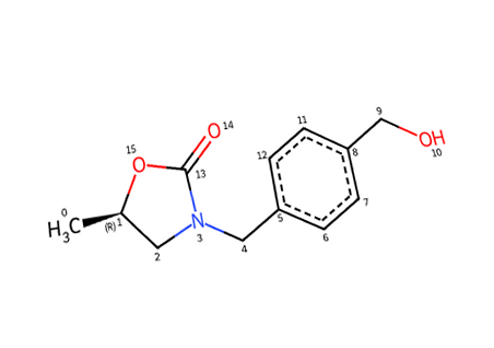 C[C@@H]1CN(Cc2ccc(CO)cc2)C(=O)O1